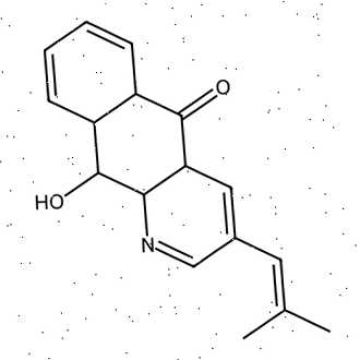 CC(C)=CC1=CC2C(=O)C3C=CC=CC3C(O)C2N=C1